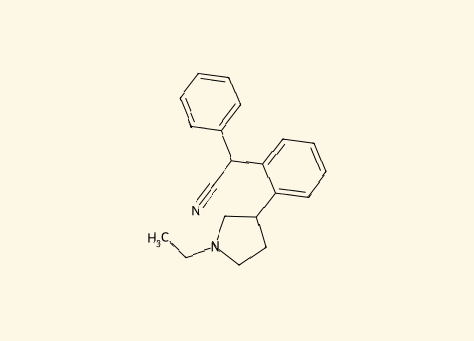 CCN1CCC(c2ccccc2C(C#N)c2ccccc2)C1